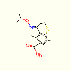 Cc1cc(C(=O)O)c(C)c2c1SCCC2=NOC(C)C